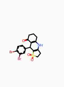 O=C1CCCC2=C1C(c1ccc(Br)c(Br)c1)C1=C(CCS1(=O)=O)N2